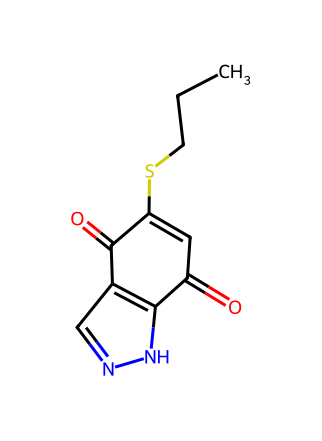 CCCSC1=CC(=O)c2[nH]ncc2C1=O